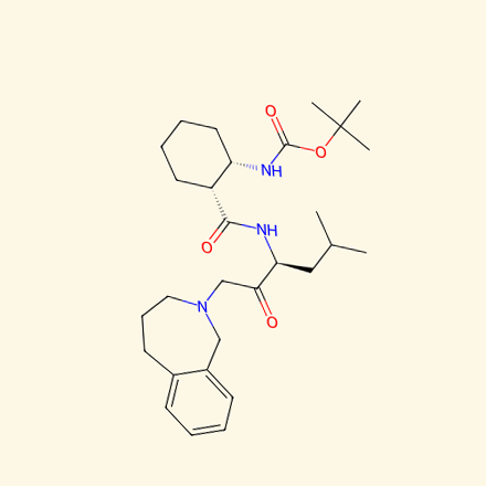 CC(C)C[C@H](NC(=O)[C@@H]1CCCC[C@@H]1NC(=O)OC(C)(C)C)C(=O)CN1CCCc2ccccc2C1